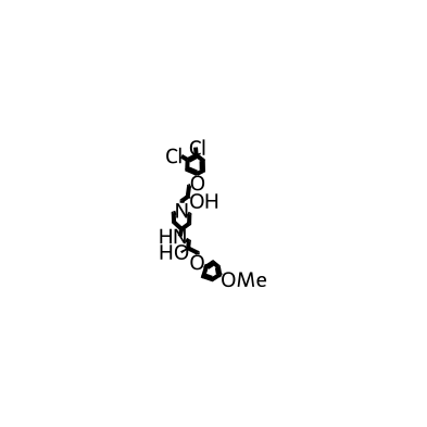 COc1ccc(OC[C@@H](O)CNC2CCN(C[C@@H](O)COc3ccc(Cl)c(Cl)c3)CC2)cc1